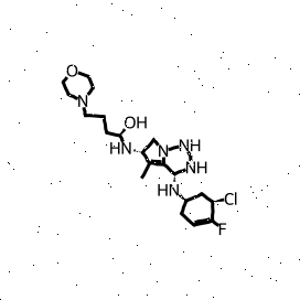 CC1=C2[C@@H](N[C@@H]3CC=C(F)[C@H](Cl)C3)NCNN2C[C@H]1N[C@H](O)CCCN1CCOCC1